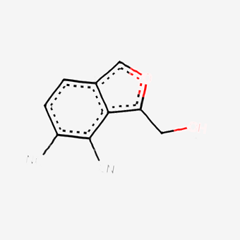 N#Cc1ccc2coc(CO)c2c1C#N